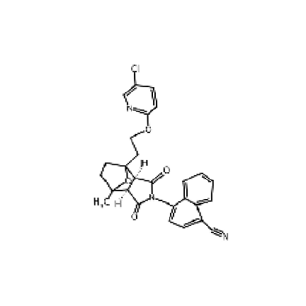 CC12CCC(CCOc3ccc(Cl)cn3)(O1)[C@H]1C(=O)N(c3ccc(C#N)c4ccccc34)C(=O)[C@H]12